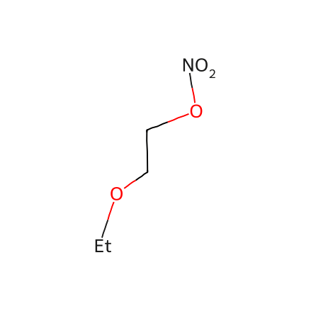 CCOCCO[N+](=O)[O-]